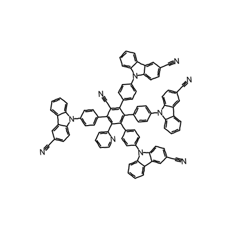 N#Cc1ccc2c(c1)c1ccccc1n2-c1ccc(-c2c(C#N)c(-c3ccc(-n4c5ccccc5c5cc(C#N)ccc54)cc3)c(-c3ccccn3)c(-c3ccc(-n4c5ccccc5c5cc(C#N)ccc54)cc3)c2-c2ccc(-n3c4ccccc4c4cc(C#N)ccc43)cc2)cc1